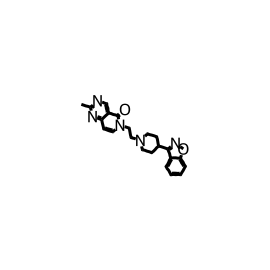 Cc1ncc2c(=O)n(CCN3CCC(c4noc5ccccc45)CC3)ccc2n1